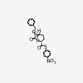 O=C(Sc1ccc([N+](=O)[O-])cc1)[C@@H]1CC[C@@H]2CN1C(=O)N2OCc1ccccc1